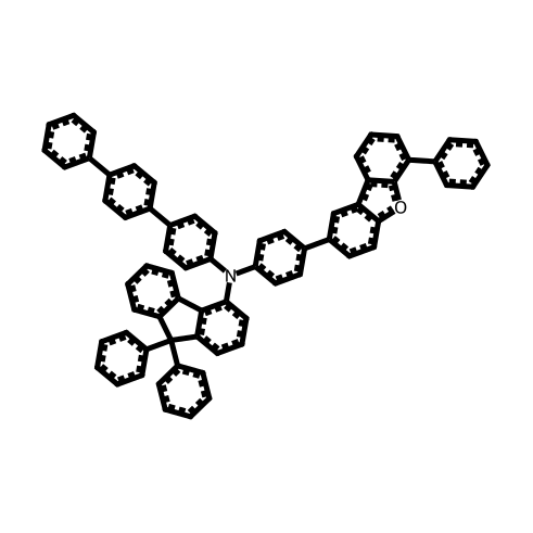 c1ccc(-c2ccc(-c3ccc(N(c4ccc(-c5ccc6oc7c(-c8ccccc8)cccc7c6c5)cc4)c4cccc5c4-c4ccccc4C5(c4ccccc4)c4ccccc4)cc3)cc2)cc1